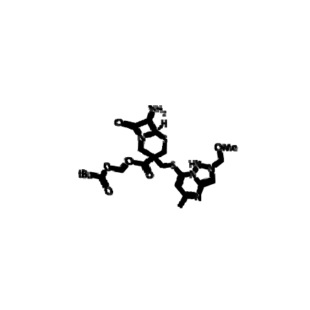 COCN1C=C2N=C(C)C=C(SCC3(C(=O)OCOC(=O)C(C)(C)C)CS[C@@H]4C(N)C(=O)N4C3)N2N1